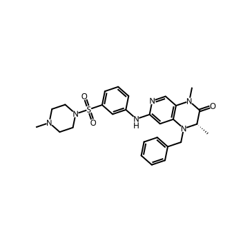 C[C@H]1C(=O)N(C)c2cnc(Nc3cccc(S(=O)(=O)N4CCN(C)CC4)c3)cc2N1Cc1ccccc1